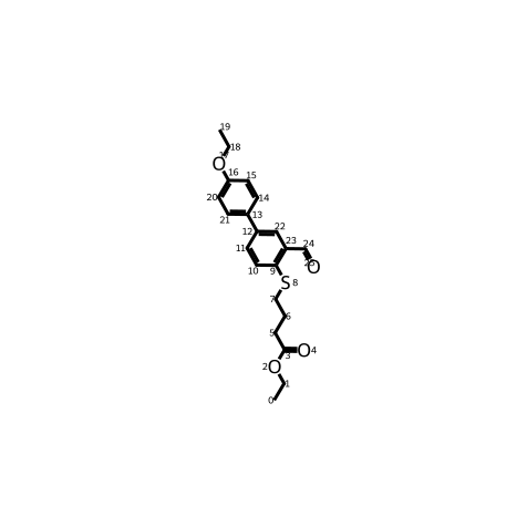 CCOC(=O)CCCSc1ccc(-c2ccc(OCC)cc2)cc1C=O